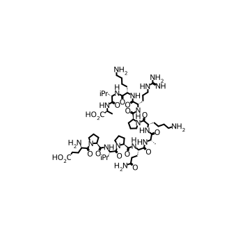 CC(C)[C@H](NC(=O)[C@H](CCCCN)NC(=O)[C@H](CCCNC(=N)N)NC(=O)[C@@H]1CCCN1C(=O)[C@H](CCCCN)NC(=O)[C@H](C)NC(=O)[C@H](CCC(N)=O)NC(=O)[C@@H]1CCCN1C(=O)[C@@H](NC(=O)[C@@H]1CCCN1C(=O)[C@@H](N)CCC(=O)O)C(C)C)C(=O)N[C@@H](C)C(=O)O